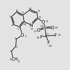 CCCCOc1cccc2ccc(OS(=O)(=O)C(F)(F)F)nc12